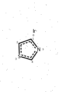 [Ir].c1cscn1